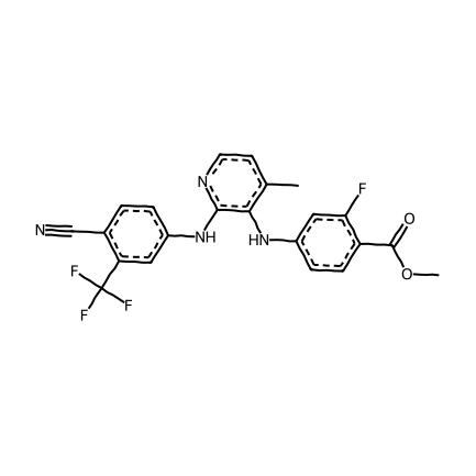 COC(=O)c1ccc(Nc2c(C)ccnc2Nc2ccc(C#N)c(C(F)(F)F)c2)cc1F